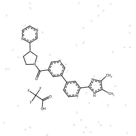 Cc1nc(-c2cc(-c3cncc(C(=O)N4CCC(c5cnccn5)C4)c3)ccn2)[nH]c1C.O=C(O)C(F)(F)F